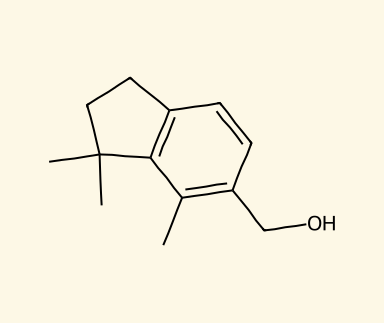 Cc1c(CO)ccc2c1C(C)(C)CC2